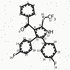 O=C(c1ccccc1)c1c(SC(F)(F)F)[nH]c(-c2ccc(F)cc2)c1-c1ccc(F)cc1